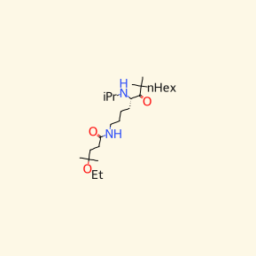 CCCCCCC(C)(C)C(=O)[C@H](CCCCNC(=O)CCC(C)(C)OCC)NC(C)C